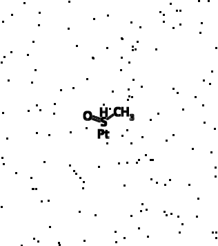 C[SH]=O.[Pt]